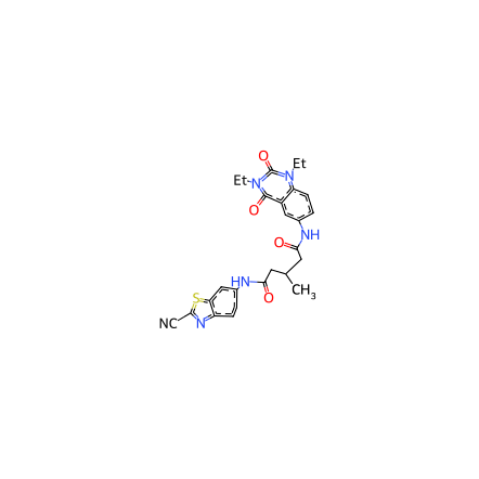 CCn1c(=O)c2cc(NC(=O)CC(C)CC(=O)Nc3ccc4nc(C#N)sc4c3)ccc2n(CC)c1=O